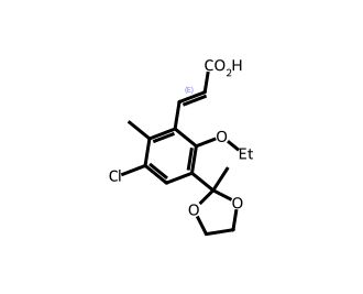 CCOc1c(C2(C)OCCO2)cc(Cl)c(C)c1/C=C/C(=O)O